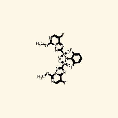 COc1ncc(F)c2nc(S(=O)(=O)N(c3c(F)cccc3F)S(=O)(=O)c3nc4c(F)cnc(OC)n4n3)nn12